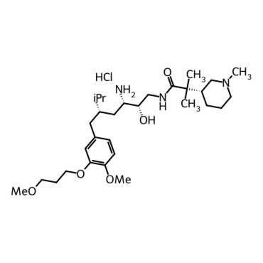 COCCCOc1cc(C[C@@H](C[C@H](N)[C@@H](O)CNC(=O)C(C)(C)[C@H]2CCCN(C)C2)C(C)C)ccc1OC.Cl